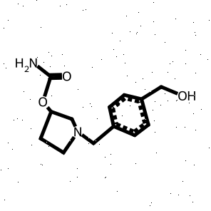 NC(=O)OC1CCN(Cc2ccc(CO)cc2)C1